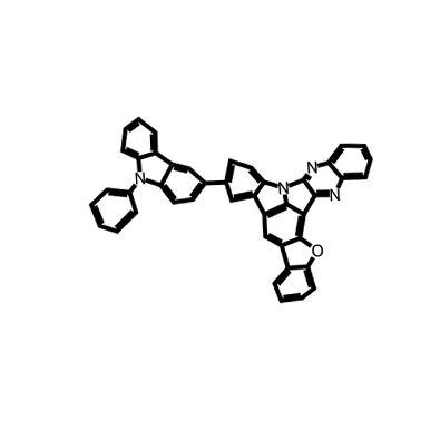 c1ccc(-n2c3ccccc3c3cc(-c4ccc5c(c4)c4cc6c7ccccc7oc6c6c7nc8ccccc8nc7n5c46)ccc32)cc1